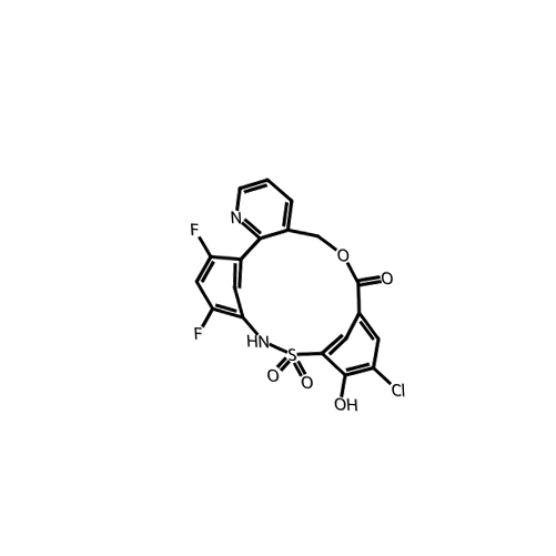 O=C1OCc2cccnc2-c2cc(c(F)cc2F)NS(=O)(=O)c2cc1cc(Cl)c2O